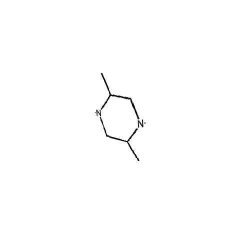 CC1C[N]C(C)C[N]1